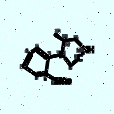 CSc1ccccc1N1CCNC[C@@H]1C